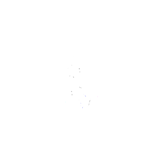 Fc1cc(-c2ccc(Cl)cc2)cn2c(I)cnc12